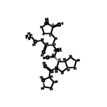 O=C1NCCC1CC(NC(=O)[C@@H]1C2CCCC2CN1C(=O)C1CCCO1)C(=O)COC(F)(F)F